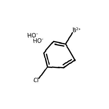 [B+2]c1ccc(Cl)cc1.[OH-].[OH-]